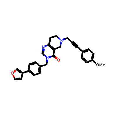 COc1ccc(C#CCN2CCc3ncn(Cc4ccc(-c5ccoc5)cc4)c(=O)c3C2)cc1